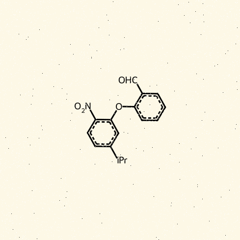 CC(C)c1ccc([N+](=O)[O-])c(Oc2ccccc2C=O)c1